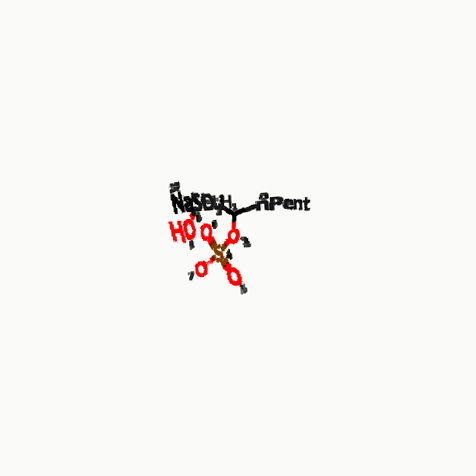 CCCCCC(CC)OS(=O)(=O)[O-].O=S(=O)(O)O.[Na+]